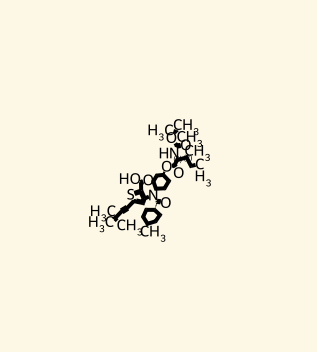 CC[C@@H](C)[C@@H](NC(=O)OC(C)(C)C)C(=O)O[C@H]1CC[C@H](N(c2cc(C#CC(C)(C)C)sc2C(=O)O)C(=O)[C@H]2CC[C@H](C)CC2)CC1